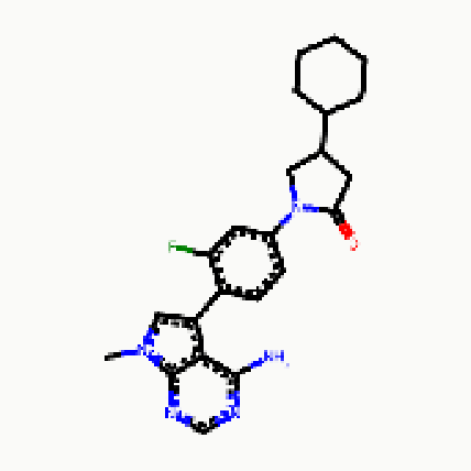 Cn1cc(-c2ccc(N3CC(C4CCCCC4)CC3=O)cc2F)c2c(N)ncnc21